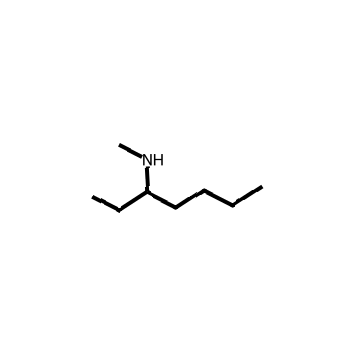 CCCCC(CC)NC